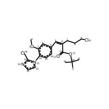 COc1cc(/C=C(/CCCCl)C(=O)OC(C)(C)C)ccc1-n1ccnc1Cl